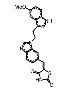 COc1ccc2[nH]cc(CCn3cnc4ccc(C=C5SC(=O)NC5=O)cc43)c2c1